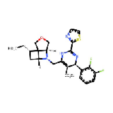 CCOC(=O)C1=C(CN2[C@@H]3COCC34[C@@H](CC(=O)O)C[C@@H]24)NC(c2nccs2)=N[C@H]1c1cccc(F)c1F